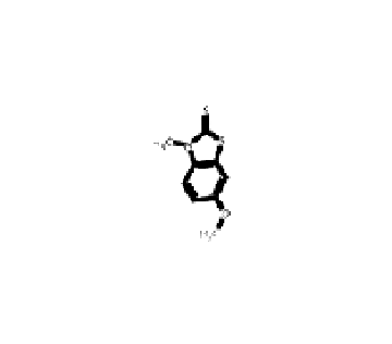 COc1ccc2c(c1)sc(=S)n2C